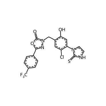 O=c1oc(-c2ccc(C(F)(F)F)cc2)nn1Cc1cc(Cl)c(-n2cc[nH]c2=S)cc1O